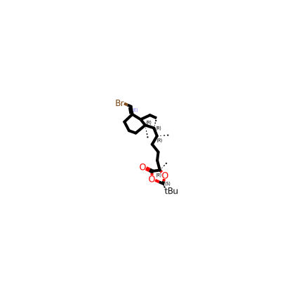 C[C@H](CCC[C@@]1(C)O[C@H](C(C)(C)C)OC1=O)[C@H]1CCC2/C(=C/Br)CCC[C@@]21C